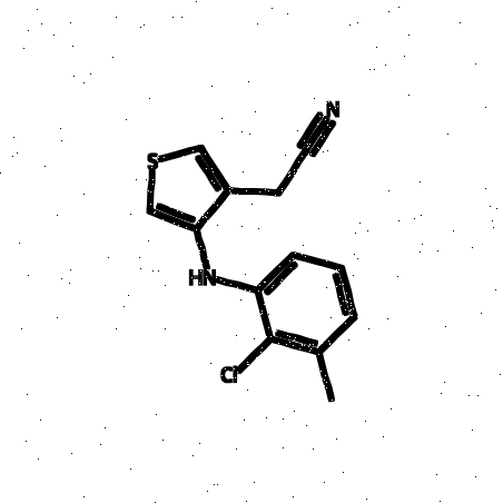 Cc1cccc(Nc2cscc2CC#N)c1Cl